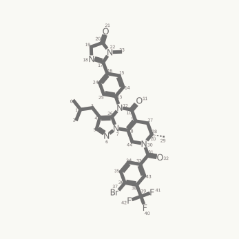 CC(C)Cc1cnn2c3c(c(=O)n(-c4ccc(C5=NCC(=O)N5C)cc4)c12)C[C@H](C)N(C(=O)c1ccc(Br)c(C(F)(F)F)c1)C3